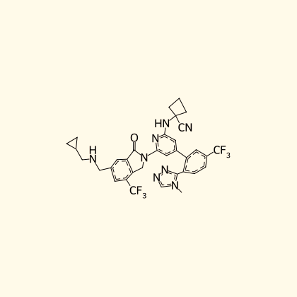 Cn1cnnc1-c1ccc(C(F)(F)F)cc1-c1cc(NC2(C#N)CCC2)nc(N2Cc3c(cc(CNCC4CC4)cc3C(F)(F)F)C2=O)c1